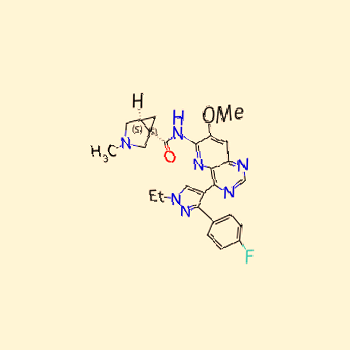 CCn1cc(-c2ncnc3cc(OC)c(NC(=O)[C@@]45C[C@@H]4CN(C)C5)nc23)c(-c2ccc(F)cc2)n1